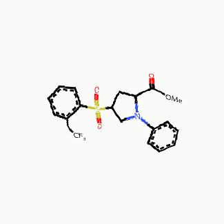 COC(=O)C1CC(S(=O)(=O)c2ccccc2C(F)(F)F)CN1c1ccccc1